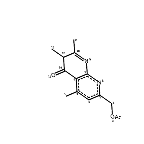 CC(=O)OCc1cc(C)c2c(n1)N=C(C)C(C)C2=O